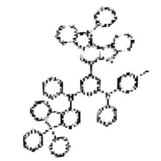 Fc1ccc(N(c2ccccc2)c2cc(-c3cc4c5ccccc5n(-c5ccccc5)c4c4c3sc3ccccc34)cc(N(c3ccccc3)c3cccc4c3-c3ccccc3C4(c3ccccc3)c3ccccc3)c2)cc1